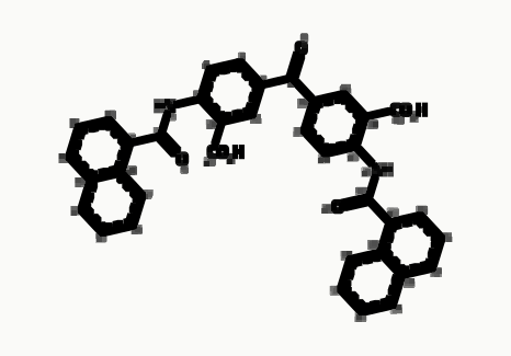 O=C(c1ccc(NC(=O)c2cccc3ccccc23)c(C(=O)O)c1)c1ccc(NC(=O)c2cccc3ccccc23)c(C(=O)O)c1